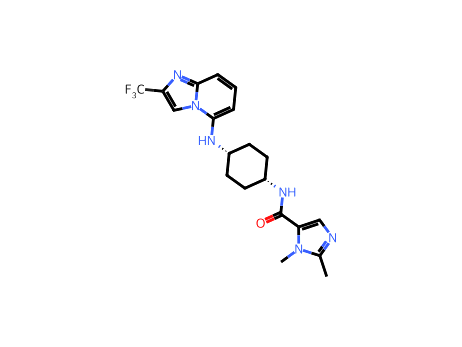 Cc1ncc(C(=O)N[C@H]2CC[C@@H](Nc3cccc4nc(C(F)(F)F)cn34)CC2)n1C